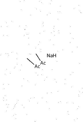 CC(C)=O.CC(C)=O.[NaH]